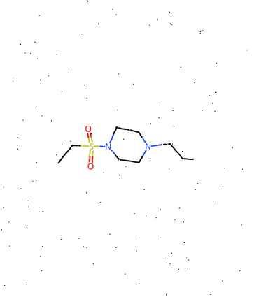 CC[CH]N1CCN(S(=O)(=O)CC)CC1